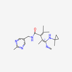 C=N/C(NC1(C)CC1)=C(\C)C(C(=O)NCc1cnc(C)nc1)=C(C)C